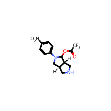 O=C(OC1[C@@H]2CNC[C@H]2CN1c1ccc([N+](=O)[O-])cc1)C(F)(F)F